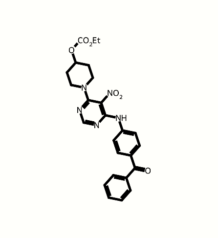 CCOC(=O)OC1CCN(c2ncnc(Nc3ccc(C(=O)c4ccccc4)cc3)c2[N+](=O)[O-])CC1